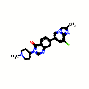 Cc1cn2cc(-c3ccc4c(=O)n(C5CCN(C)CC5)cnc4c3)cc(F)c2n1